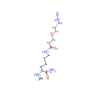 CC(C)NC(CCCCNC(=O)CCOCCN=[N+]=[N-])C(N)=O